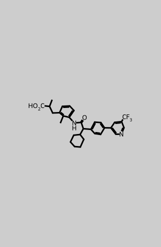 Cc1c(CC(C)C(=O)O)cccc1NC(=O)C(c1ccc(-c2cncc(C(F)(F)F)c2)cc1)C1CCCCC1